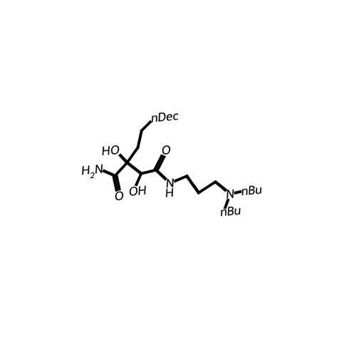 CCCCCCCCCCCCC(O)(C(N)=O)C(O)C(=O)NCCCN(CCCC)CCCC